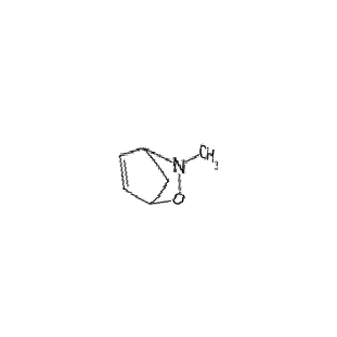 CN1OC2C=CC1C2